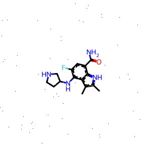 Cc1[nH]c2c(C(N)=O)cc(F)c(NC3CCNC3)c2c1C